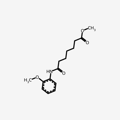 COC(=O)CCCCCC(=O)Nc1ccccc1OC